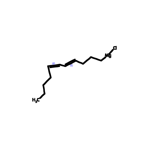 CCCC/C=C\C=C\CC[CH2][Mg][Cl]